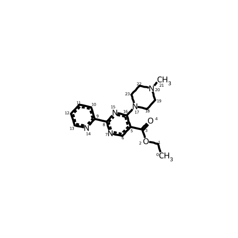 CCOC(=O)c1cnc(-c2ccccn2)nc1N1CCN(C)CC1